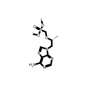 C[C@H](Cn1cnc2c(N)ncnc21)OCP(=O)(OI)OI